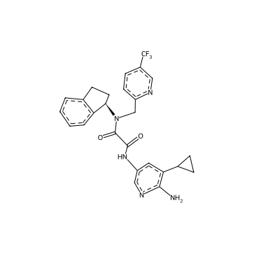 Nc1ncc(NC(=O)C(=O)N(Cc2ccc(C(F)(F)F)cn2)[C@@H]2CCc3ccccc32)cc1C1CC1